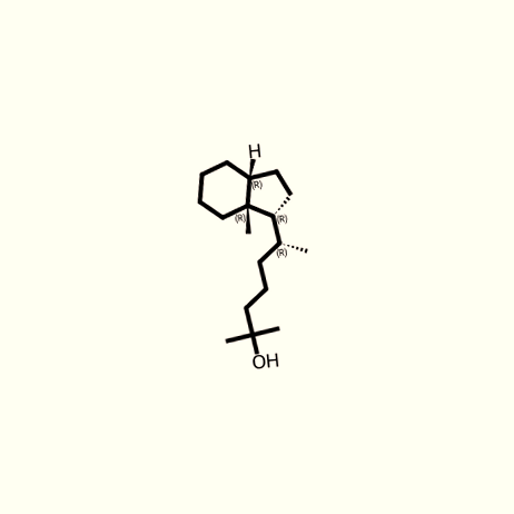 C[C@H](CCCC(C)(C)O)[C@H]1CC[C@H]2CCCC[C@]21C